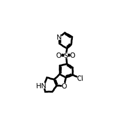 O=S(=O)(c1cccnc1)c1cc(Cl)c2oc3c(c2c1)CNCC3